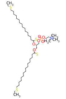 CCSCCCCCCCCCCCCCCCC(=S)OC[C@H](COP(=O)([O-])OCC[N+](C)(C)C)OC(=S)CCCCCCCCCCCCCCCSCC